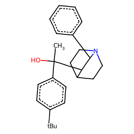 CC(C)(C)c1ccc(C(C)(O)C2C3CCN(CC3)C2c2ccccc2)cc1